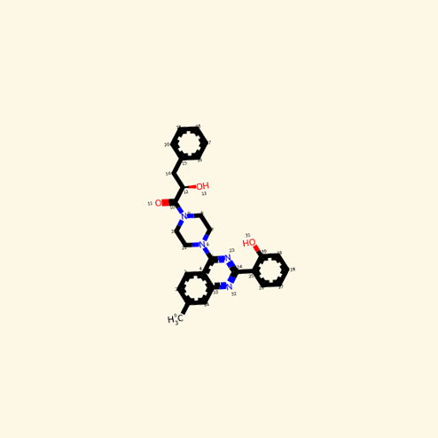 Cc1ccc2c(N3CCN(C(=O)[C@H](O)Cc4ccccc4)CC3)nc(-c3ccccc3O)nc2c1